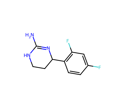 NC1=NC(c2ccc(F)cc2F)CCN1